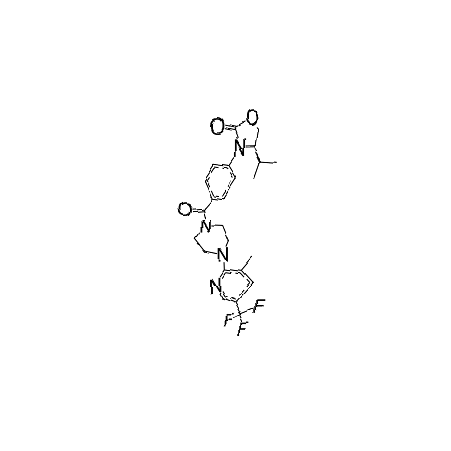 Cc1cc(C(F)(F)F)cnc1N1CCN(C(=O)c2ccc(N3C(=O)OC[C@H]3C(C)C)cc2)CC1